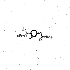 CCCON(C(C)=O)c1ccc(OC(=O)NC)cc1C